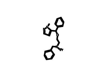 CC(C)N(CCOC(c1ccccc1)c1ccnn1C)Cc1ccccc1